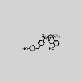 CC12CCN(C(=O)c3ccc(CN4CCC(O)CC4)cc3)C(Cc3c(O)cccc31)C2(C)C